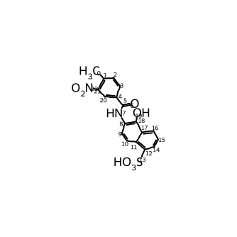 Cc1ccc(C(=O)Nc2ccc3c(S(=O)(=O)O)cccc3c2O)cc1[N+](=O)[O-]